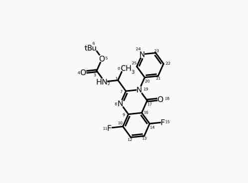 CC(NC(=O)OC(C)(C)C)c1nc2c(F)ccc(F)c2c(=O)n1-c1cccnc1